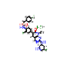 CC(C)n1c(=O)c(-c2ccc(NS(=O)(=O)Cc3ccc(F)cc3)c(F)c2)cc2cnc(N[C@@H]3CNC[C@@H](F)C3)nc21.Cl